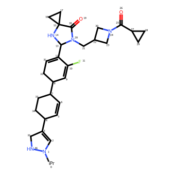 CC(C)N1C=C(C2C=CC(C3C=C(F)C(C4NC5(CC5)C(=O)N4CC4CN(C(=O)C5CC5)C4)=CC3)CC2)CN1